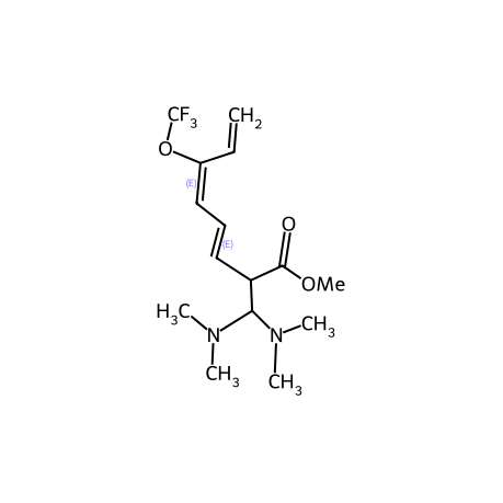 C=C/C(=C\C=C\C(C(=O)OC)C(N(C)C)N(C)C)OC(F)(F)F